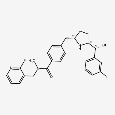 CN(Cc1cccnc1F)C(=O)c1ccc(C[C@@H]2CC[C@H]([C@H](O)c3cccc(F)c3)N2)cc1